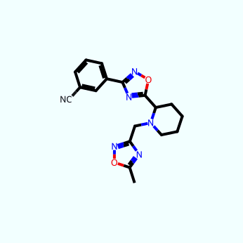 Cc1nc(CN2CCCCC2c2nc(-c3cccc(C#N)c3)no2)no1